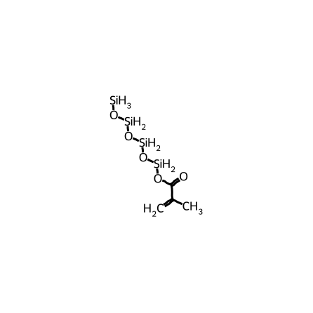 C=C(C)C(=O)O[SiH2]O[SiH2]O[SiH2]O[SiH3]